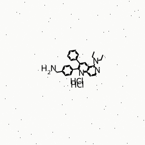 CCN(CC)c1nccc2nc(-c3ccc(CN)cc3)c(-c3ccccc3)cc12.Cl.Cl